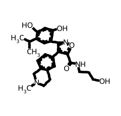 CC(C)c1cc(-c2noc(C(=O)NCCCO)c2-c2ccc3c(c2)CCN(C)C3)c(O)cc1O